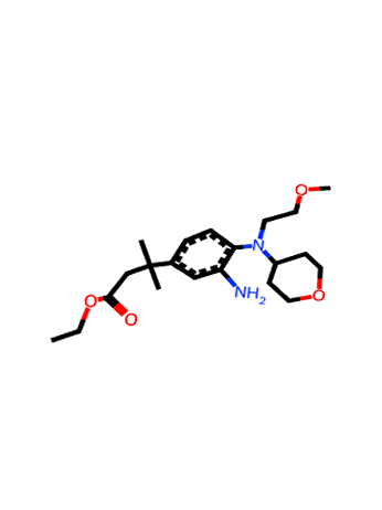 CCOC(=O)CC(C)(C)c1ccc(N(CCOC)C2CCOCC2)c(N)c1